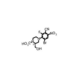 N#Cc1c([N+](=O)[O-])cc(Br)c(N2CCN(C(=O)O)[C@H](CO)C2)c1F